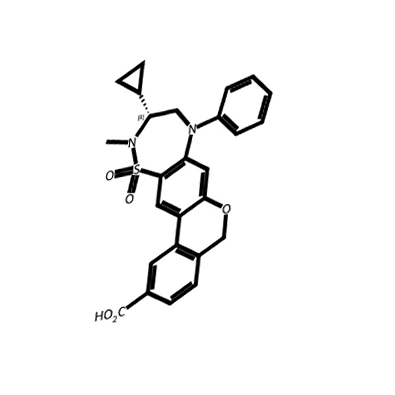 CN1[C@H](C2CC2)CN(c2ccccc2)c2cc3c(cc2S1(=O)=O)-c1cc(C(=O)O)ccc1CO3